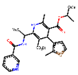 CCOC(=O)C1=C(C(NC(=O)c2cccnc2)SC)NC(C)=C(C(=O)OC(C)OC)C1c1ccsc1C